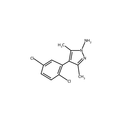 Cc1nn(N)c(C)c1-c1cc(Cl)ccc1Cl